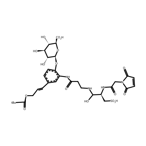 CC(C)(C)C(=O)OC/C=C/c1ccc(O[C@@H]2O[C@H](C(=O)O)[C@@H](O)[C@H](O)[C@H]2O)c(NC(=O)CCNC(O)[C@H](CS(=O)(=O)O)NC(=O)CN2C(=O)C=CC2=O)c1